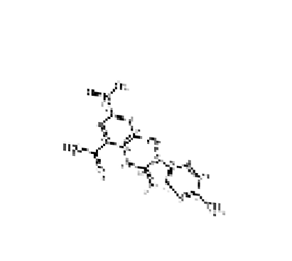 CC(=O)c1cc([N+](=O)[O-])cc(Cl)c1Sc1nc2cc(C)ccc2s1